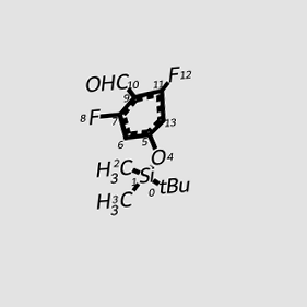 CC(C)(C)[Si](C)(C)Oc1cc(F)c(C=O)c(F)c1